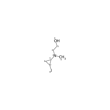 CN(CCO)C1CC1I